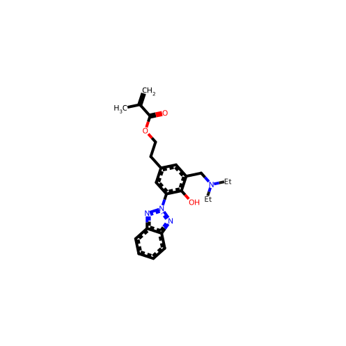 C=C(C)C(=O)OCCc1cc(CN(CC)CC)c(O)c(-n2nc3ccccc3n2)c1